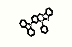 c1ccc(N2c3cc(-n4c5ccccc5c5ccccc54)ccc3Cn3c2nc2ccccc23)cc1